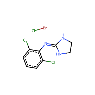 ClBr.Clc1cccc(Cl)c1N=C1NCCN1